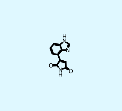 O=C1C=C(c2cccc3[nH]cnc23)C(=O)N1